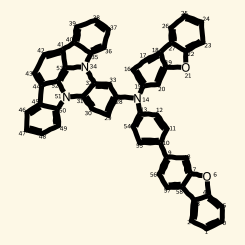 c1ccc2c(c1)oc1cc(-c3ccc(N(c4ccc5c(c4)oc4ccccc45)c4ccc5c(c4)n4c6ccccc6c6ccc7c8ccccc8n5c7c64)cc3)ccc12